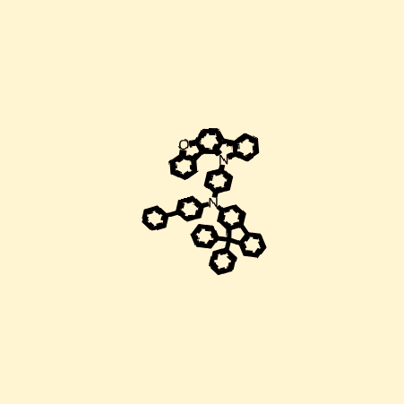 c1ccc(-c2ccc(N(c3ccc(-n4c5ccccc5c5ccc6oc7ccccc7c6c54)cc3)c3ccc4c(c3)C(c3ccccc3)(c3ccccc3)c3ccccc3-4)cc2)cc1